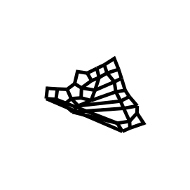 C1C2C3C4CC5C6C7CC8C9C%10C%11C%12C%13CC%14C%15C1C21C2C3%16C3C4%17C5C64C78C95C%106C%117C%128C%14%13C%151C28C%167C36C%1745